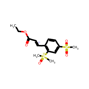 CCOC(=O)/C=C/c1ccc(S(C)(=O)=O)cc1[SH](C)(C)=O